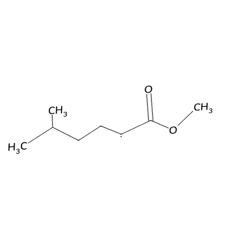 COC(=O)[CH]CCC(C)C